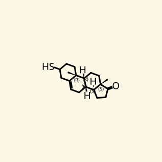 C[C@]12CCC(S)CC1=CC[C@@H]1[C@H]2CC[C@]2(C)C(=O)CC[C@@H]12